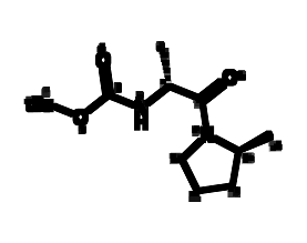 C[C@@H](NC(=O)OC(C)(C)C)C(=O)N1CCC[C@@H]1C